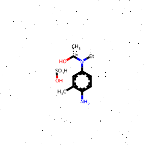 CCN(c1ccc(N)c(C)c1)[C@@H](C)O.O=S(=O)(O)O